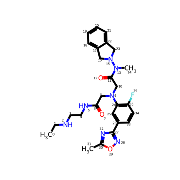 CCNCCNC(=O)CN(CC(=O)N(C)N1Cc2ccccc2C1)c1cc(-c2noc(C)n2)ccc1F